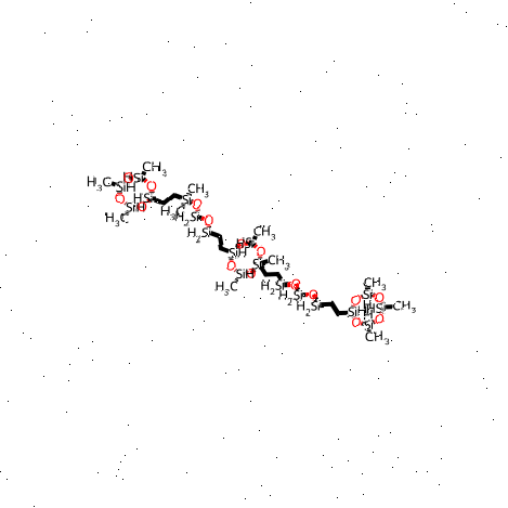 C[SiH]1O[SiH](C)O[SiH](CC[SiH2]O[SiH2]O[SiH2]CC[Si]2(C)O[SiH](C)O[SiH](CC[SiH2]O[SiH2]O[Si](C)(C)CC[SiH]3O[SiH](C)O[SiH](C)O[SiH](C)O3)O[SiH](C)O2)O[SiH](C)O1